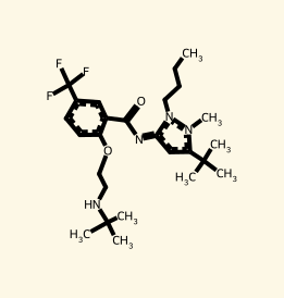 CCCCn1c(=NC(=O)c2cc(C(F)(F)F)ccc2OCCNC(C)(C)C)cc(C(C)(C)C)n1C